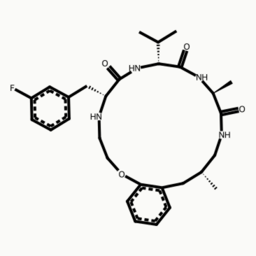 CC(C)[C@H]1NC(=O)[C@@H](Cc2cccc(F)c2)NCCOc2ccccc2C[C@@H](C)CNC(=O)[C@H](C)NC1=O